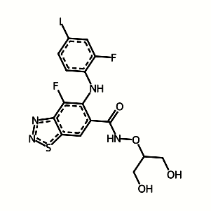 O=C(NOC(CO)CO)c1cc2snnc2c(F)c1Nc1ccc(I)cc1F